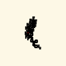 C=CC(=O)OCC(F)(OC(F)(F)C(F)(OC(F)(F)C(F)(F)C(F)(F)F)C(F)(F)F)C(F)(F)F